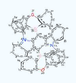 c1ccc(-n2c3ccccc3c3c(B4c5ccccc5Oc5ccccc54)c4c(c(B5c6ccccc6Oc6ccccc65)c32)c2ccccc2n4-c2ccccc2)cc1